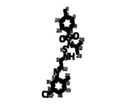 Cc1ccc(S(=O)(=O)N(SNCC=Nc2cc(Cl)ccc2C)C(C)C)cc1